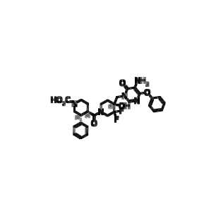 Nc1c(Oc2ccccc2)ncn(C[C@@]2(O)CCN(C(=O)[C@@H]3CCN(C(=O)O)C[C@H]3c3ccccc3)CC2(F)F)c1=O